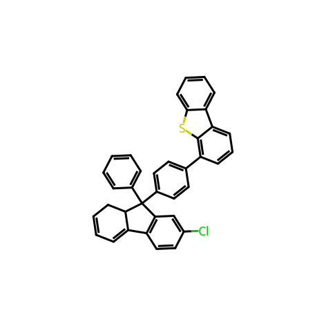 Clc1ccc2c(c1)C(c1ccccc1)(c1ccc(-c3cccc4c3sc3ccccc34)cc1)C1CC=CC=C21